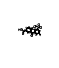 Cc1cc(S(=O)(=O)Cl)c2oc3ccc(C(=O)O)cc3c(=O)c2c1